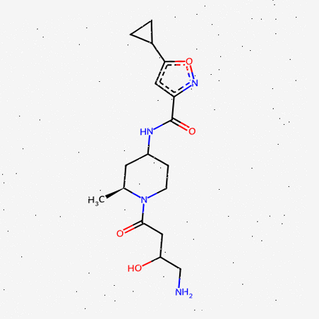 C[C@H]1CC(NC(=O)c2cc(C3CC3)on2)CCN1C(=O)CC(O)CN